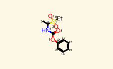 CCS(=O)(=O)C(C)NC(=O)Oc1ccccc1